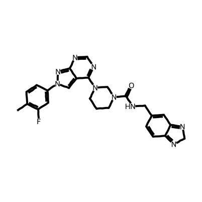 Cc1ccc(-n2cc3c(N4CCCN(C(=O)NCc5ccc6c(c5)=NCN=6)C4)ncnc3n2)cc1F